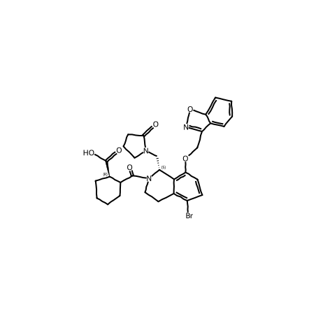 O=C(O)[C@@H]1CCCCC1C(=O)N1CCc2c(Br)ccc(OCc3noc4ccccc34)c2[C@H]1CN1CCCC1=O